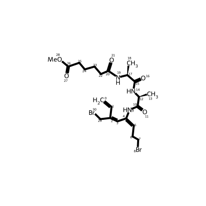 C=C/C(=C\C(=C/CCBr)NC(=O)[C@H](C)NC(=O)[C@H](C)NC(=O)CCCCC(=O)OC)CBr